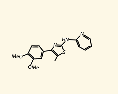 COc1ccc(-c2nc(Nc3ccccn3)sc2C)cc1OC